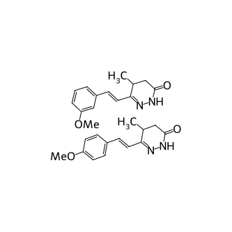 COc1ccc(C=CC2=NNC(=O)CC2C)cc1.COc1cccc(C=CC2=NNC(=O)CC2C)c1